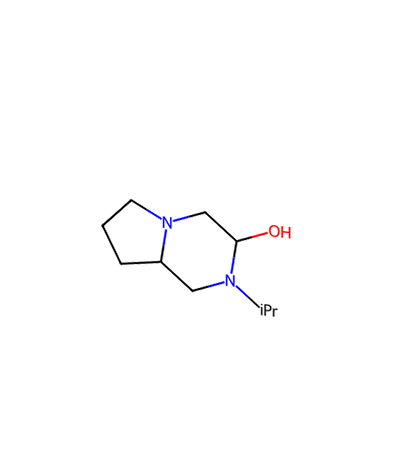 CC(C)N1CC2CCCN2CC1O